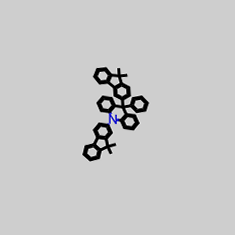 CC1(C)c2ccccc2-c2cc(C3(c4ccccc4)c4ccccc4N(c4ccc5c(c4)C(C)(C)c4ccccc4-5)c4ccccc43)ccc21